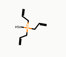 C=CC[PH]([SeH])(CC=C)CC=C